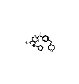 Nc1cnc(Nc2ccc(CN3CCOCC3)cc2)nc1NC1CCCC1